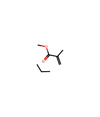 C=C(C)C(=O)OC.CCC